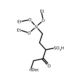 CCCCCCCCCCCC(=O)C(CC[Si](OCC)(OCC)OCC)S(=O)(=O)O